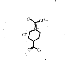 CC(Cl)=[N+]1CCC(C(=O)Cl)CC1.[Cl-]